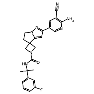 CC(C)(NC(=O)N1CC2(CCn3nc(-c4cnc(N)c(C#N)c4)cc32)C1)c1cccc(F)c1